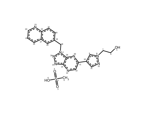 CS(=O)(=O)O.OCCn1cc(-c2cnc3nnn(Cc4ccc5ncccc5c4)c3n2)cn1